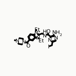 CCn1c(CNC(=O)c2nc(CI)cnc2N)[n+](CC)c2ccc(C(=O)N3CCN(C)CC3)cc21